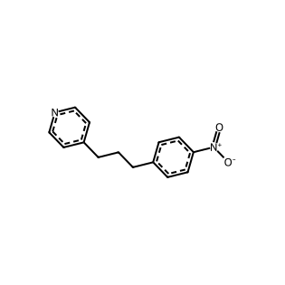 O=[N+]([O-])c1ccc(CCCc2ccncc2)cc1